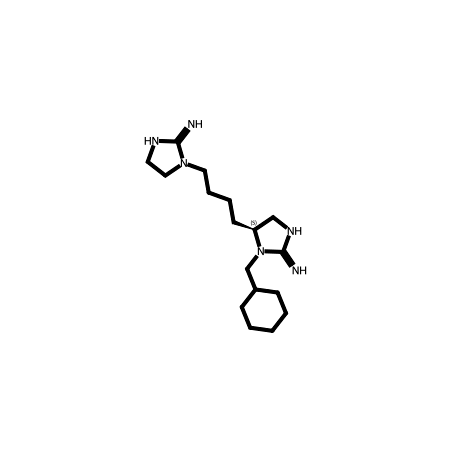 N=C1NCCN1CCCC[C@H]1CNC(=N)N1CC1CCCCC1